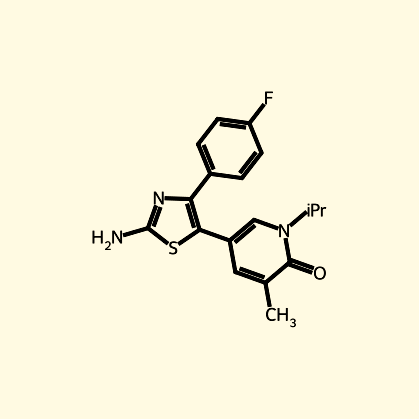 Cc1cc(-c2sc(N)nc2-c2ccc(F)cc2)cn(C(C)C)c1=O